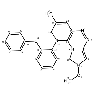 CON1C=C2N=NC3=C(N2C1)N(c1ccccc1Oc1ccccc1)CC(C)=C3